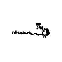 C=C.CCCCCCCCCCCCc1nccn1O